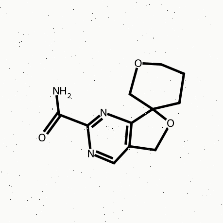 NC(=O)c1ncc2c(n1)C1(CCCOC1)OC2